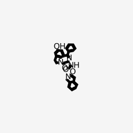 O=C(N[C@@H]1N=C(c2ccccc2)c2cc(O)cc3c2N(CC3)C1=O)Oc1cc2ccccc2cn1